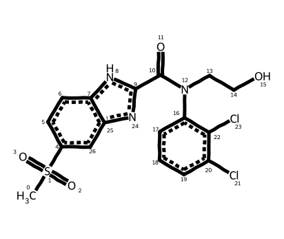 CS(=O)(=O)c1ccc2[nH]c(C(=O)N(CCO)c3cccc(Cl)c3Cl)nc2c1